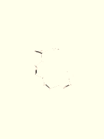 C/C=C\C/C=C\C/C=C\CC(=O)OC